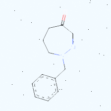 O=C1CCCN(Cc2ccccc2)NC1